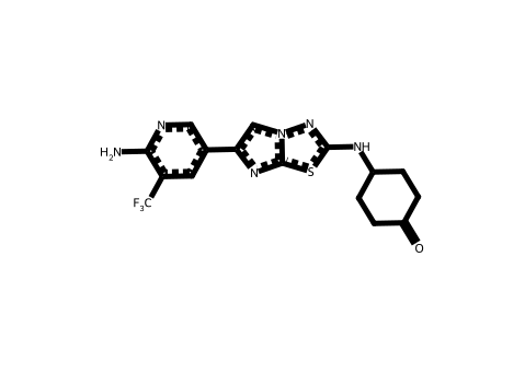 Nc1ncc(-c2cn3nc(NC4CCC(=O)CC4)sc3n2)cc1C(F)(F)F